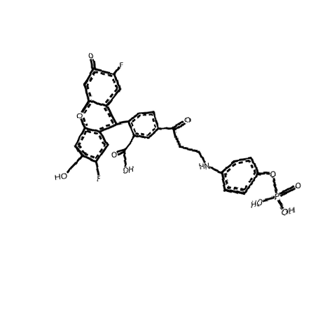 O=C(CCNc1ccc(OP(=O)(O)O)cc1)c1ccc(-c2c3cc(F)c(=O)cc-3oc3cc(O)c(F)cc23)c(C(=O)O)c1